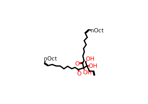 C=CCC(O)(CO)C(O)(C(=O)CCCCCCC/C=C\CCCCCCCC)C(=O)CCCCCCC/C=C\CCCCCCCC